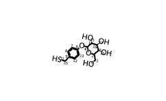 OCC1OC(Oc2ccc(CS)cc2)[C@H](O)[C@@H](O)[C@@H]1O